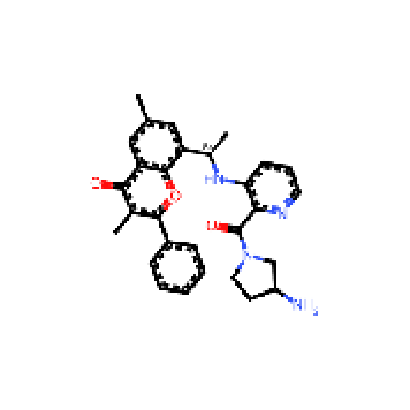 Cc1cc([C@@H](C)Nc2cccnc2C(=O)N2CCC(N)C2)c2oc(-c3ccccc3)c(C)c(=O)c2c1